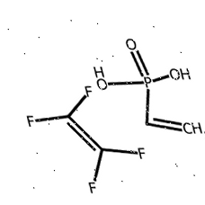 C=CP(=O)(O)O.FC(F)=C(F)F